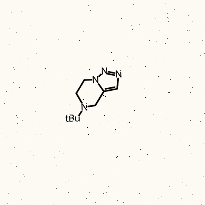 CC(C)(C)N1CCn2nncc2C1